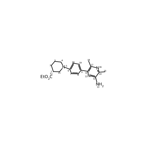 CCOC(=O)[C@@H]1CCCN(c2ccc(-c3nc(N)c(C)nc3C)cc2)C1